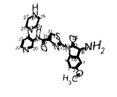 COc1ccc2c(c1)C(N)C(=O)N2c1nc(C(=O)Nc2cnccc2N2CCNCC2)cs1